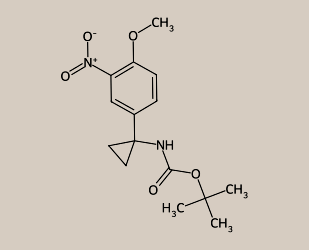 COc1ccc(C2(NC(=O)OC(C)(C)C)CC2)cc1[N+](=O)[O-]